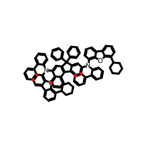 c1ccc(-c2ccccc2N(c2ccc3c(c2)C(c2ccccc2)(c2ccccc2)c2cc(N(c4ccccc4-c4ccccc4)c4cccc5c4oc4c(C6CCCCC6)cccc45)c4ccccc4c2-3)c2cccc3c2oc2c(C4CCCCC4)cccc23)cc1